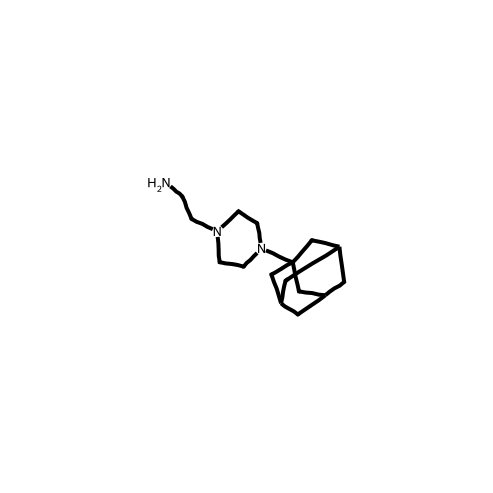 NCCN1CCN(C23CC4CC(CC(C4)C2)C3)CC1